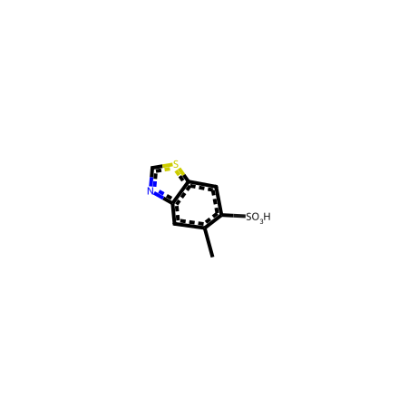 Cc1cc2ncsc2cc1S(=O)(=O)O